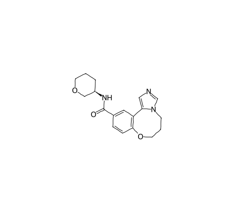 O=C(N[C@@H]1CCCOC1)c1ccc2c(c1)-c1cncn1CCCO2